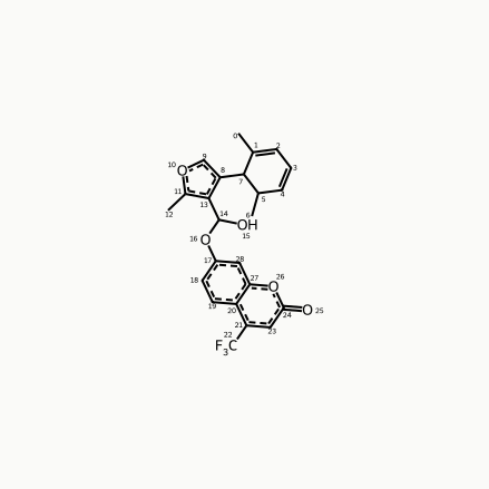 CC1=CC=CC(C)C1c1coc(C)c1C(O)Oc1ccc2c(C(F)(F)F)cc(=O)oc2c1